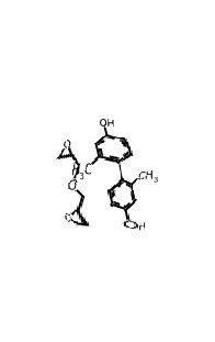 C(OCC1CO1)C1CO1.Cc1cc(O)ccc1-c1ccc(O)cc1C